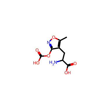 Cc1onc(OC(=O)O)c1CC(N)C(=O)O